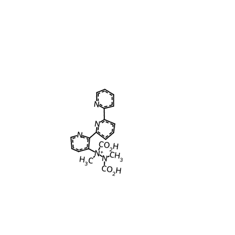 CN(C(=O)O)[N+](C)(C(=O)O)c1cccnc1-c1cccc(-c2ccccn2)n1